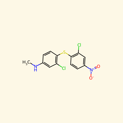 CNc1ccc(Sc2ccc([N+](=O)[O-])cc2Cl)c(Cl)c1